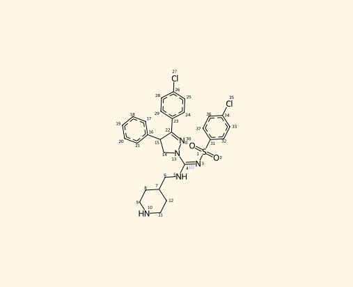 O=S(=O)(/N=C(/NCC1CCNCC1)N1CC(c2ccccc2)C(c2ccc(Cl)cc2)=N1)c1ccc(Cl)cc1